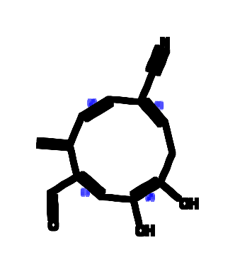 C=C1/C=C\C(C#N)=C/C/C(O)=C(O)\C=C/1C=O